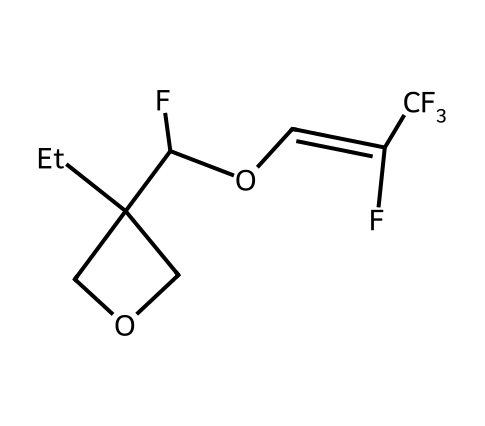 CCC1(C(F)OC=C(F)C(F)(F)F)COC1